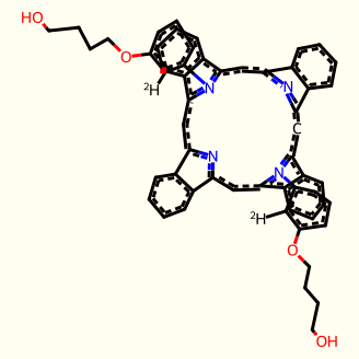 [2H]c1c(OCCCCO)cccc1-n1c2cc3nc(cc4c5ccccc5c(cc5nc(cc1c1ccccc12)-c1ccccc1-5)n4-c1cccc(OCCCCO)c1[2H])-c1ccccc1-3